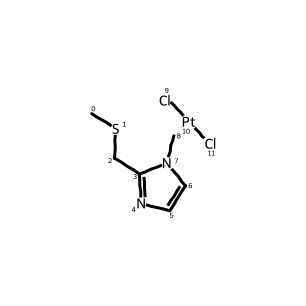 CSCc1nccn1C.[Cl][Pt][Cl]